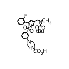 CN(Cc1cc(-c2ccccc2F)n(S(=O)(=O)c2cccc(N3CCN(C(=O)O)CC3)c2)c1)C(=O)OC(C)(C)C